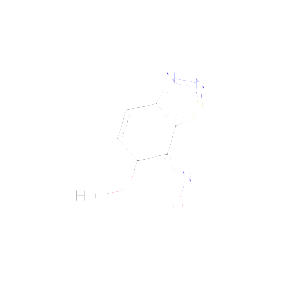 COC1C=Cc2nnsc2C1=NO